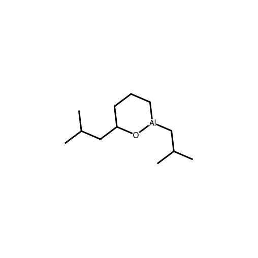 CC(C)CC1CC[CH2][Al]([CH2]C(C)C)[O]1